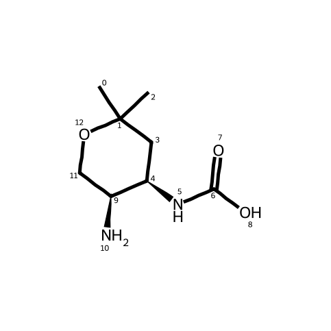 CC1(C)C[C@@H](NC(=O)O)[C@@H](N)CO1